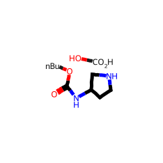 CCCCOC(=O)NC1CCNC1.O=C(O)O